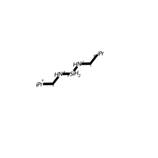 CC(C)CN[SiH2]NCC(C)C